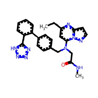 CCc1cc(N(CC(=O)NC)Cc2ccc(-c3ccccc3-c3nnn[nH]3)cc2)n2nccc2n1